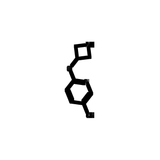 N#Cc1ccc(OC2CNC2)nc1